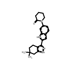 CC1(C)CCc2c(-c3cc4ccc(N5CCCCC5=O)cc4[nH]3)n[nH]c2C1